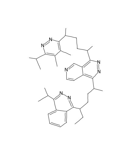 CCC(CCC(C)c1nnc(C(C)CCC(C)c2nnc(C(C)C)c(C)c2C)c2cnccc12)c1nnc(C(C)C)c2ccccc12